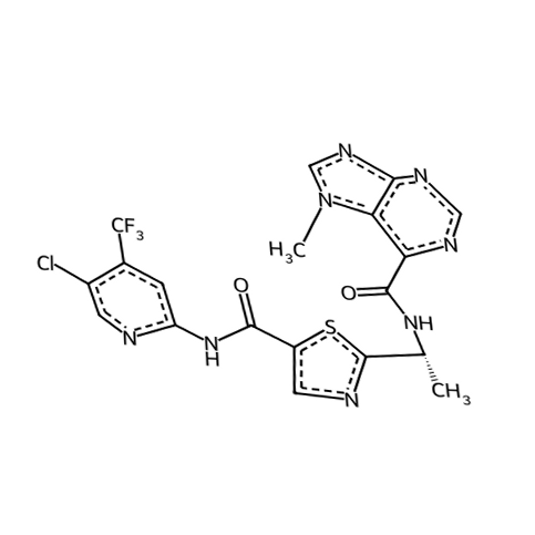 C[C@@H](NC(=O)c1ncnc2ncn(C)c12)c1ncc(C(=O)Nc2cc(C(F)(F)F)c(Cl)cn2)s1